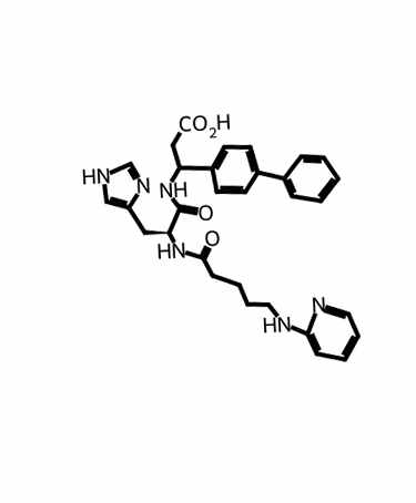 O=C(O)CC(NC(=O)[C@H](Cc1c[nH]cn1)NC(=O)CCCCNc1ccccn1)c1ccc(-c2ccccc2)cc1